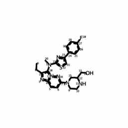 CCc1nc2ccc(N3CCNC(CO)C3)nn2c1N(C)c1nc(-c2ccc(F)cc2)cs1